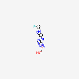 Nc1ncnc(Nc2ccc3c(cnn3Cc3cccc(F)c3)c2)c1/C=N\OCCCO